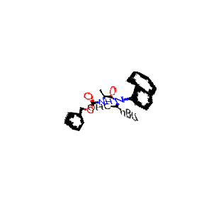 CCCC[C@@H]([C]=O)N(C(=O)[C@H](C)NC(=O)OCc1ccccc1)c1cccc2ccccc12